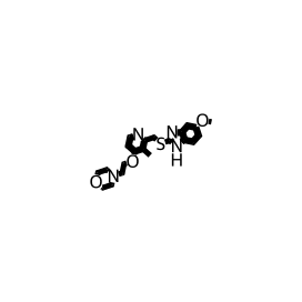 COc1ccc2[nH]c(SCc3nccc(OCCN4CCOCC4)c3C)nc2c1